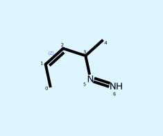 C/C=C\C(C)N=N